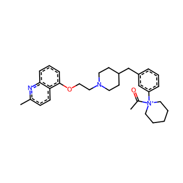 CC(=O)[N+]1(c2cccc(CC3CCN(CCOc4cccc5nc(C)ccc45)CC3)c2)CCCCC1